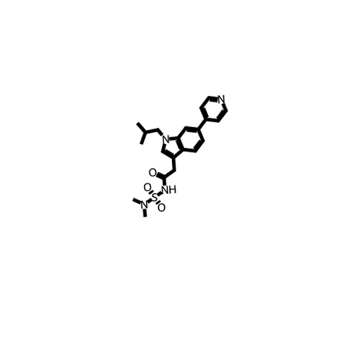 CC(C)Cn1cc(CC(=O)NS(=O)(=O)N(C)C)c2ccc(-c3ccncc3)cc21